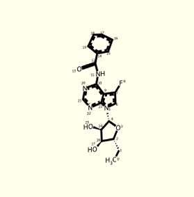 CC[C@H]1O[C@@H](n2cc(F)c3c(NC(=O)c4ccccc4)ncnc32)[C@H](O)[C@@H]1O